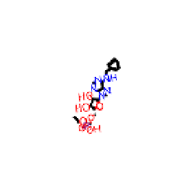 CCOP(=O)(O)COC[C@H]1O[C@@H](n2cnc3c(NCc4ccccc4)ncnc32)[C@H](O)[C@@H]1O